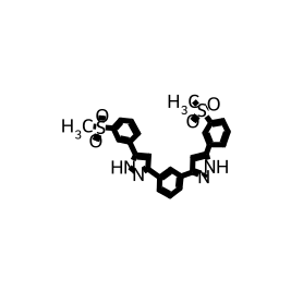 CS(=O)(=O)c1cccc(-c2cc(-c3cccc(-c4cc(-c5cccc(S(C)(=O)=O)c5)[nH]n4)c3)n[nH]2)c1